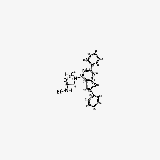 CCNC(=O)CN(C)c1nc(-c2ccccn2)nc2sc(-c3ccccc3)cc12